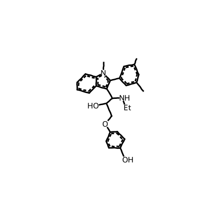 CCNC(c1c(-c2cc(C)cc(C)c2)n(C)c2ccccc12)C(O)COc1ccc(O)cc1